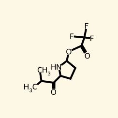 CC(C)C(=O)C1CCC(OC(=O)C(F)(F)F)N1